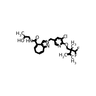 C=C(C)C(C)(COc1ncc(Cn2cc3c(n2)C=CCC=C3C(=O)NC[C@H](C)O)cc1Cl)C(F)F